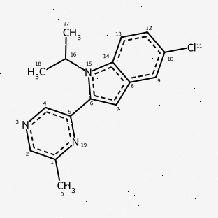 Cc1cncc(-c2cc3cc(Cl)ccc3n2C(C)C)n1